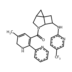 CC1=CC(C(=O)N2CC3CC34CC(Nc3ccc(C(F)(F)F)cn3)C24)=C(c2ccccn2)NC1